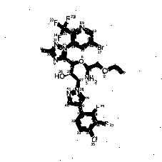 CCOCC(N)OC(c1nc(C)nn1-c1cc(Br)cnc1C(F)(F)F)[C@@H](O)Cn1cc(-c2ccc(Cl)c(F)c2F)cn1